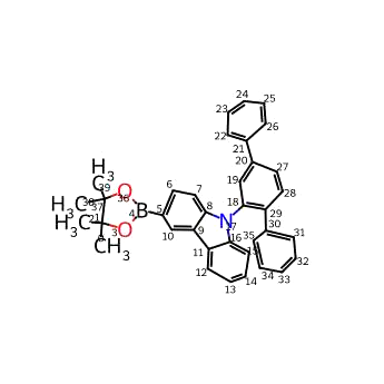 CC1(C)OB(c2ccc3c(c2)c2ccccc2n3-c2cc(-c3ccccc3)ccc2-c2ccccc2)OC1(C)C